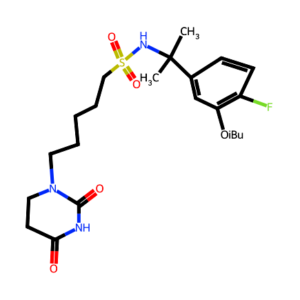 CC(C)COc1cc(C(C)(C)NS(=O)(=O)CCCCCN2CCC(=O)NC2=O)ccc1F